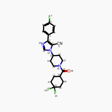 N#Cc1c(-c2ccc(F)cc2)ncn1C1CCN(C(=O)C2CCC(F)(F)CC2)CC1